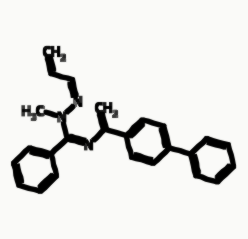 C=C/C=N\N(C)/C(=N\C(=C)c1ccc(-c2ccccc2)cc1)c1ccccc1